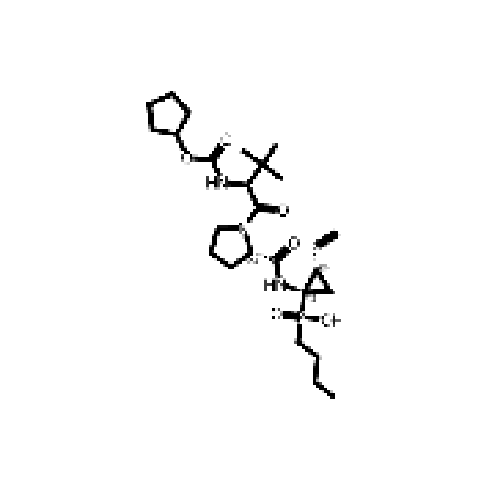 C=C[C@@H]1C[C@]1(NC(=O)[C@@H]1CCCN1C(=O)C(NC(=O)OC1CCCC1)C(C)(C)C)P(=O)(O)CCCC